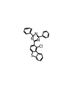 Clc1c(-c2nc(-c3ccccc3)nc(-c3ccccc3)n2)ccc2sc3ccccc3c12